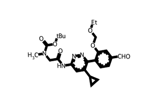 CCOCOc1cc(C=O)ccc1-c1nnc(NC(=O)CN(C)C(=O)OC(C)(C)C)cc1C1CC1